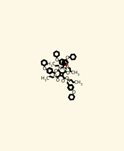 CCCN(Cc1ccc(OC2CCCCC2)cc1)OC(=O)C1C(C(=O)ON(CCC)Cc2ccc(OC3CCCCC3)cc2)C(C(=O)N(CCC)Cc2ccc(OC3CCCCC3)cc2)C1C(=O)N(CCC)Cc1ccc(OC2CCCCC2)cc1